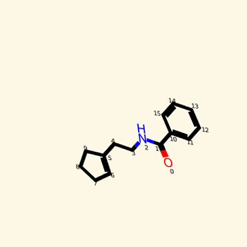 O=C(NCCC1=CCCC1)c1ccccc1